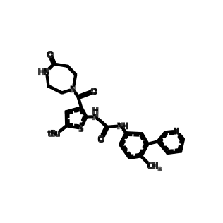 Cc1ccc(NC(=O)Nc2sc(C(C)(C)C)cc2C(=O)N2CCNC(=O)CC2)cc1-c1cccnc1